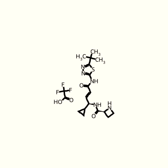 CC(C)(C)c1nnc(NC(=O)C=C[C@@H](NC(=O)[C@@H]2CCN2)C2CC2)s1.O=C(O)C(F)(F)F